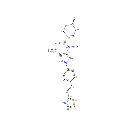 CCOC(=O)c1cn(-c2ccc(/C=C/c3cscn3)cc2)nc1N(C(=O)[C@H]1CC[C@H](C)CC1)C(C)C